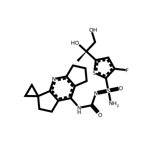 C[C@@](O)(CO)c1cc(F)c(S(N)(=O)=NC(=O)Nc2c3c(nc4c2CCC42CC2)CCC3)s1